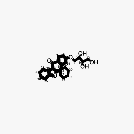 O=C1c2ccc(OC[C@@H](O)[C@H](O)CO)cc2C2(CCCCC2)c2oc3ccccc3c21